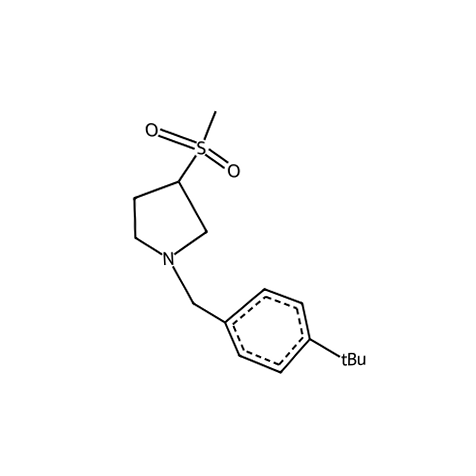 CC(C)(C)c1ccc(CN2CCC(S(C)(=O)=O)C2)cc1